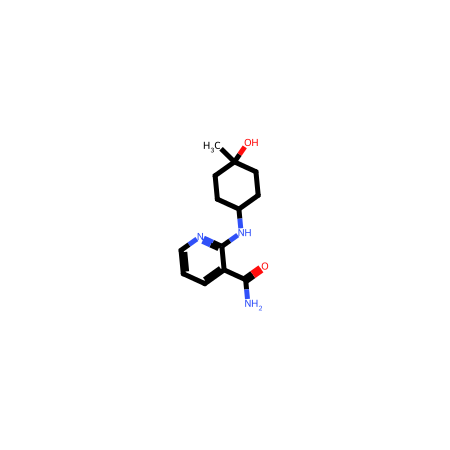 CC1(O)CCC(Nc2ncccc2C(N)=O)CC1